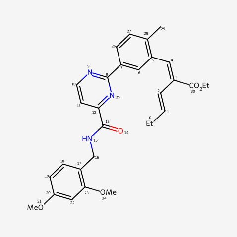 CC/C=C/C(=C\c1cc(-c2nccc(C(=O)NCc3ccc(OC)cc3OC)n2)ccc1C)C(=O)OCC